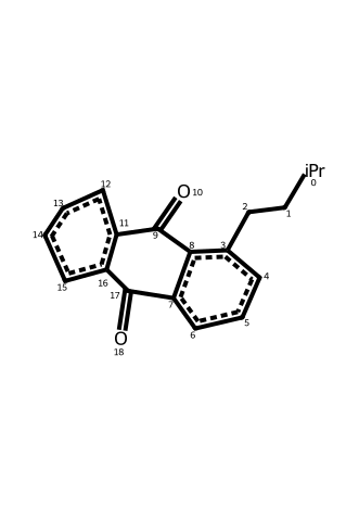 CC(C)CCc1cccc2c1C(=O)c1ccccc1C2=O